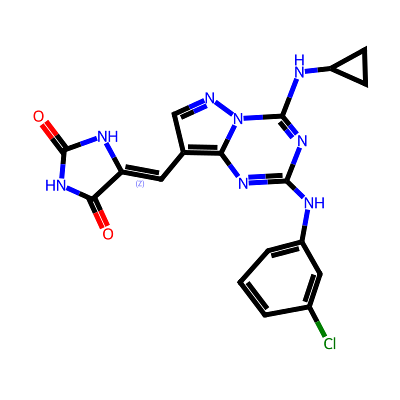 O=C1NC(=O)/C(=C/c2cnn3c(NC4CC4)nc(Nc4cccc(Cl)c4)nc23)N1